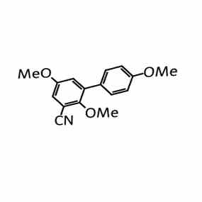 COc1ccc(-c2cc(OC)cc(C#N)c2OC)cc1